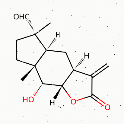 C=C1C(=O)O[C@H]2[C@H]1C[C@H]1[C@@](C)(CC[C@]1(C)C=O)[C@H]2O